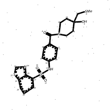 CSCC1(O)CCN(C(=O)c2ccc(NS(=O)(=O)c3cccc4scnc34)cc2)CC1